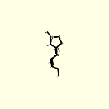 CC/C=C\C=C1\CCN(C)C1